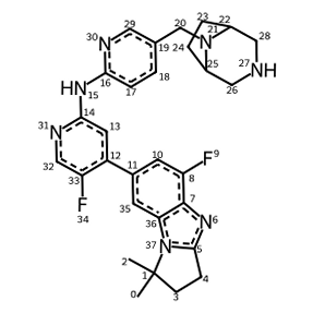 CC1(C)CCc2nc3c(F)cc(-c4cc(Nc5ccc(CN6C7CCC6CNC7)cn5)ncc4F)cc3n21